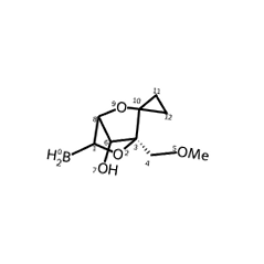 BC1O[C@@]2(COC)C(O)C1OC21CC1